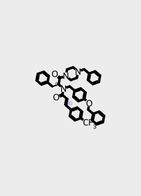 O=C([C@H](Cc1ccccc1)N(Cc1ccc(OCc2ccccc2)cc1)C(=O)/C=C/c1ccc(C(F)(F)F)cc1)N1CCN(Cc2ccccc2)CC1